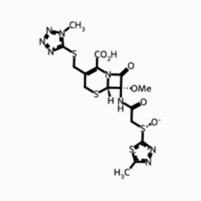 CO[C@@]1(NC(=O)C[S+]([O-])c2nnc(C)s2)C(=O)N2C(C(=O)O)=C(CSc3nnnn3C)CS[C@H]21